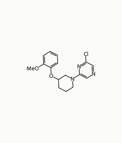 COc1ccccc1OC1CCCN(c2cncc(Cl)n2)C1